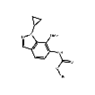 COc1c(NC(=O)OC(C)(C)C)ccc2cnn(C3CC3)c12